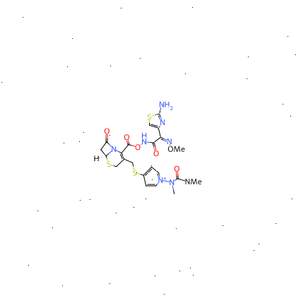 CNC(=O)N(C)[n+]1ccc(SCC2=C(C(=O)ONC(=O)/C(=N\OC)c3csc(N)n3)N3C(=O)C[C@@H]3SC2)cc1